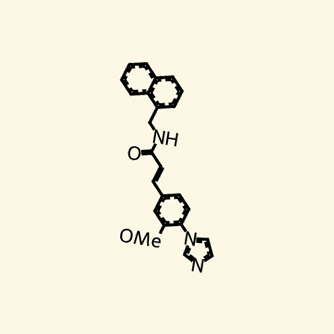 COc1cc(/C=C/C(=O)NCc2cccc3ccccc23)ccc1-n1ccnc1